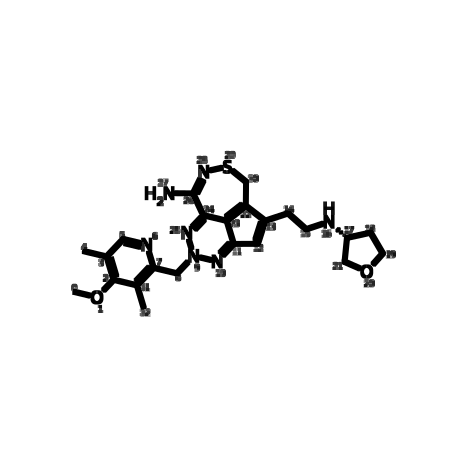 COc1c(C)cnc(Cn2nc3cc(CCN[C@@H]4CCOC4)c4c-3c(n2)C(N)=NSC4)c1C